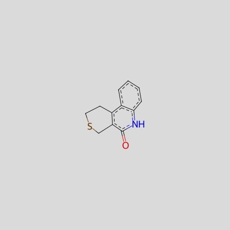 O=c1[nH]c2ccccc2c2c1CSCC2